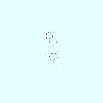 O=C1CCC(CCOC2CCCCO2)(c2ccc(F)c(F)c2)CN1Cc1cc(C(F)(F)F)cc(C(F)(F)F)c1